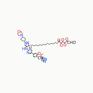 CC(Cn1cnnn1)Oc1cc(-c2cnc(Nc3cn(C4CCC(N5CCOCC5)CC4)nc3OCCCCCCCCCCCCCCC(=O)C(=O)C(=O)C(=O)C(=O)C=O)nc2)ccc1C#N